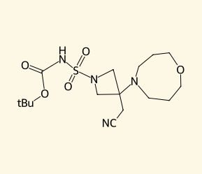 CC(C)(C)OC(=O)NS(=O)(=O)N1CC(CC#N)(N2CCCOCCC2)C1